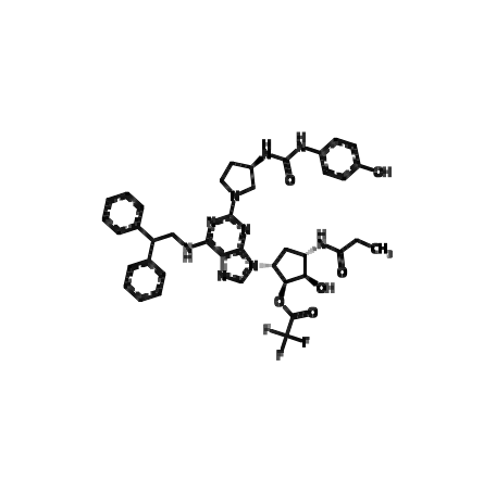 CCC(=O)N[C@H]1C[C@@H](n2cnc3c(NCC(c4ccccc4)c4ccccc4)nc(N4CC[C@@H](NC(=O)Nc5ccc(O)cc5)C4)nc32)[C@H](OC(=O)C(F)(F)F)[C@@H]1O